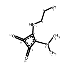 CC(C)CCNc1c(N(C)C)c(=O)c1=O